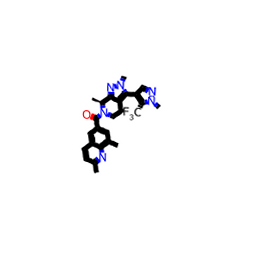 Cc1ccc2cc(C(=O)N3CCc4c(nn(C)c4-c4cnn(C)c4C(F)(F)F)[C@@H]3C)cc(C)c2n1